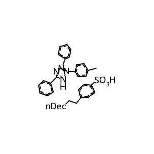 CCCCCCCCCCCCc1ccc(S(=O)(=O)O)cc1.Cc1ccc(N2NC(c3ccccc3)=NN2c2ccccc2)cc1